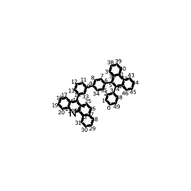 c1ccc(-c2c(-c3ccc(-c4cccc(-c5c6ccccc6nc6c5ccc5ccccc56)c4)cc3)c3ccccc3c3ccccc23)cc1